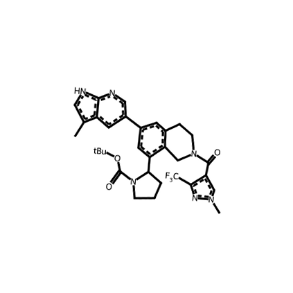 Cc1c[nH]c2ncc(-c3cc4c(c(C5CCCN5C(=O)OC(C)(C)C)c3)CN(C(=O)c3cn(C)nc3C(F)(F)F)CC4)cc12